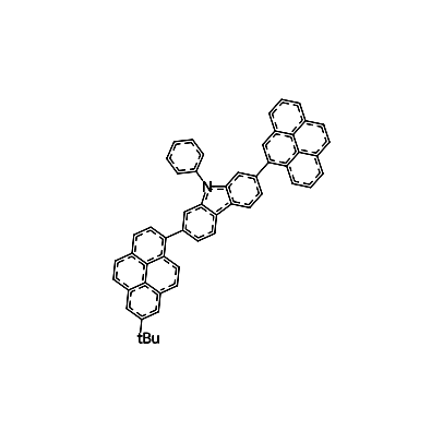 CC(C)(C)c1cc2ccc3ccc(-c4ccc5c6ccc(-c7cc8cccc9ccc%10cccc7c%10c98)cc6n(-c6ccccc6)c5c4)c4ccc(c1)c2c34